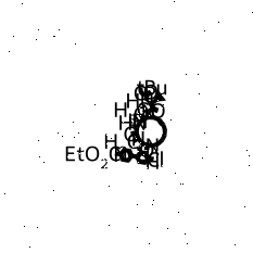 CCOC(=O)N1CC=C(c2ccc(Cl)cc2C[C@H]2C(=O)NCCCCC=CC[C@H](N(C)C(=O)[C@@H](NC(=O)OC(C)(C)C)C3CC3)C(=O)N[C@@H](CC(C)C)C(=O)N2C)CC1